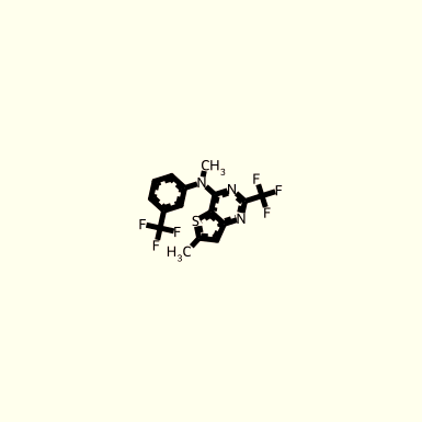 Cc1cc2nc(C(F)(F)F)nc(N(C)c3cccc(C(F)(F)F)c3)c2s1